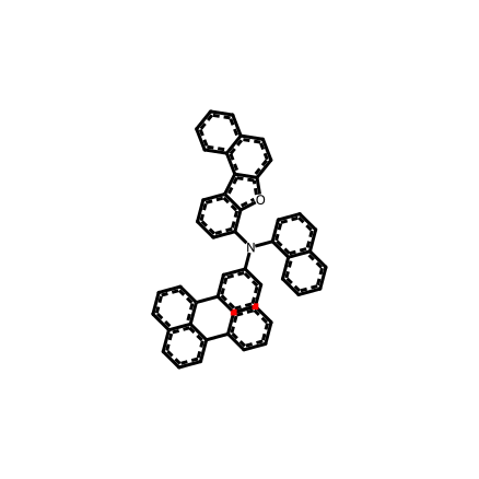 c1ccc(-c2cccc3cccc(-c4cccc(N(c5cccc6ccccc56)c5cccc6c5oc5ccc7ccccc7c56)c4)c23)cc1